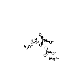 O.O.O.O=[N+]([O-])[O-].O=[N+]([O-])[O-].[Mg+2]